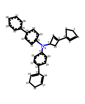 C1=CCCC=1C1=CC(N(c2ccc(C3=CCCC=C3)cc2)c2ccc(-c3ccccc3)cc2)C1